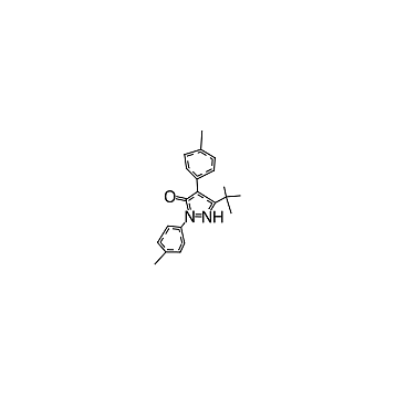 Cc1ccc(-c2c(C(C)(C)C)[nH]n(-c3ccc(C)cc3)c2=O)cc1